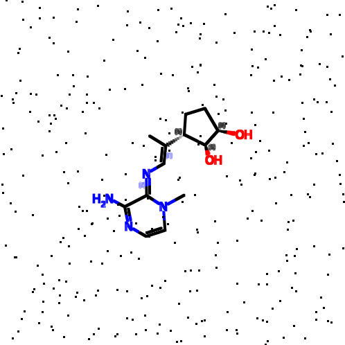 C/C(=C\N=c1\c(N)nccn1C)[C@@H]1CC[C@@H](O)[C@H]1O